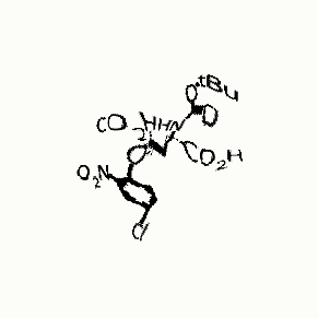 CC(C)(C)OC(=O)N[C@@H](C[C@H](Oc1ccc(Cl)cc1[N+](=O)[O-])C(=O)O)C(=O)O